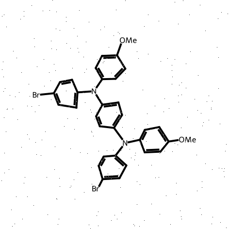 COc1ccc(N(c2ccc(Br)cc2)c2ccc(N(c3ccc(Br)cc3)c3ccc(OC)cc3)cc2)cc1